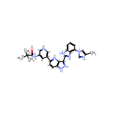 Cc1cn(-c2cccc3[nH]c(-c4n[nH]c5ccc(-c6cncc(NC(=O)C(C)(C)C)c6)nc45)nc23)cn1